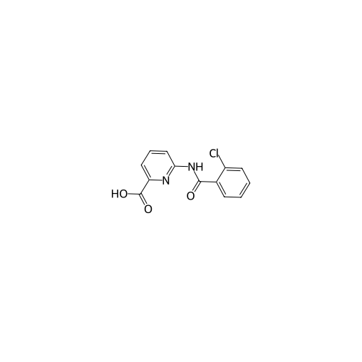 O=C(O)c1cccc(NC(=O)c2ccccc2Cl)n1